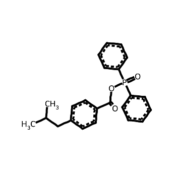 CC(C)Cc1ccc(C(=O)OP(=O)(c2ccccc2)c2ccccc2)cc1